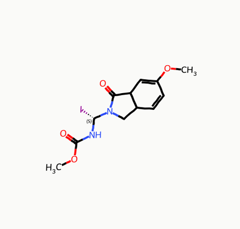 COC(=O)N[C@H](I)N1CC2C=CC(OC)=CC2C1=O